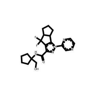 O=C(NC1(CO)CCCC1)c1nn(-c2cnccn2)c2c1C(F)(F)C1CCCC21